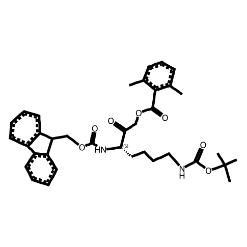 Cc1cccc(C)c1C(=O)OCC(=O)[C@H](CCCCNC(=O)OC(C)(C)C)NC(=O)OCC1c2ccccc2-c2ccccc21